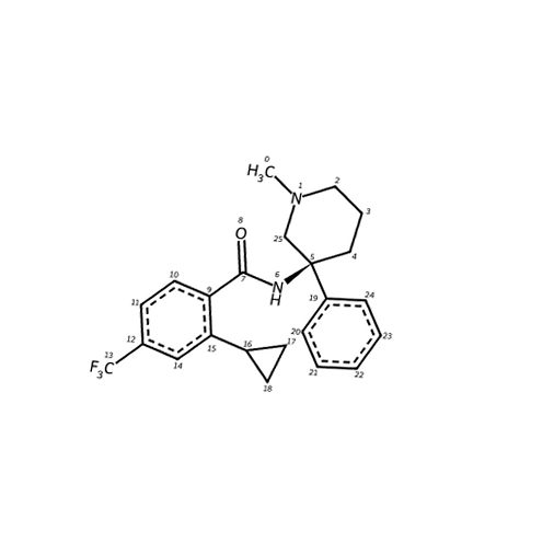 CN1CCC[C@](NC(=O)c2ccc(C(F)(F)F)cc2C2CC2)(c2ccccc2)C1